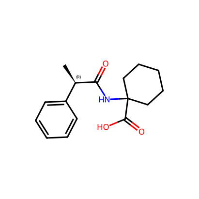 C[C@@H](C(=O)NC1(C(=O)O)CCCCC1)c1ccccc1